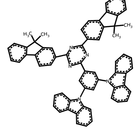 CC1(C)c2ccccc2-c2ccc(-c3nc(-c4cc(-n5c6ccccc6c6ccccc65)cc(-n5c6ccccc6c6ccccc65)c4)nc(-c4ccc5c(c4)C(C)(C)c4ccccc4-5)n3)cc21